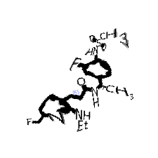 CCNc1nc(CF)ccc1/C=C/C(=O)N[C@H](C)c1ccc(NS(C)(=O)=O)c(F)c1